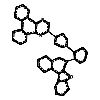 c1ccc(-c2cc3ccccc3c3c2oc2ccccc23)c(-c2ccc(-c3cnc4c5ccccc5c5ccccc5c4n3)cc2)c1